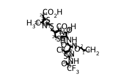 C=CCON=C(C(=O)NC1C(=O)N2C(C(=O)O)=C(CSc3nc(C)c(CC(=O)O)s3)CS[C@@H]12)c1nc(NC(=O)C(F)(F)F)sc1Cl